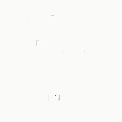 O=C(OC(=O)C(F)(F)F)C1=CNC=CC=C1